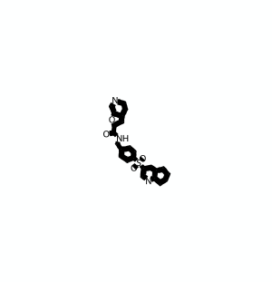 O=C(NCc1ccc(S(=O)(=O)c2cnc3ccccc3c2)cc1)c1cc2ccncc2o1